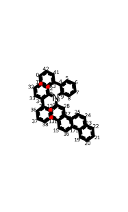 c1ccc(-c2ccccc2N(c2ccc3ccc4c5ccccc5ccc4c3c2)c2ccccc2-c2ccccc2)cc1